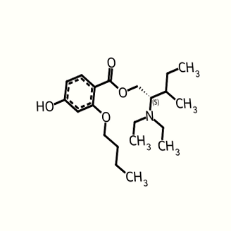 CCCCOc1cc(O)ccc1C(=O)OC[C@H](C(C)CC)N(CC)CC